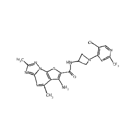 Cc1nc2cc(C)c3c(N)c(C(=O)NC4CN(c5cc(C(F)(F)F)ncc5Cl)C4)sc3n2n1